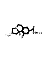 C[C@H]1C[C@H]2c3c(F)cc(C(=O)NO)cc3CCN2C1